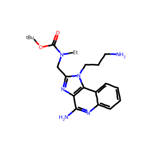 CCN(Cc1nc2c(N)nc3ccccc3c2n1CCCN)C(=O)OC(C)(C)C